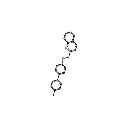 Cc1ccc(-c2ccc(OCc3ccc4ccccc4n3)cc2)cc1